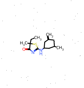 C=C1CC(C)CC(NC2=NC(=O)C(C)(CC)S2)C1